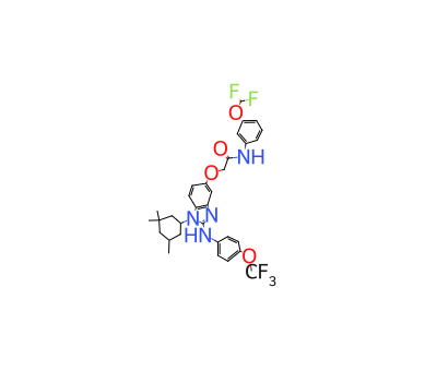 CC1CC(n2c(Nc3ccc(OC(F)(F)F)cc3)nc3cc(OCC(=O)Nc4cccc(OC(F)F)c4)ccc32)CC(C)(C)C1